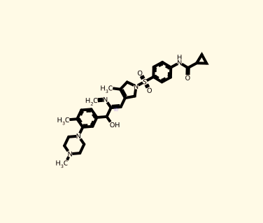 C=N/C(=C\C1=C(C)CN(S(=O)(=O)c2ccc(NC(=O)C3CC3)cc2)C1)C(O)c1ccc(C)c(N2CCN(C)CC2)c1